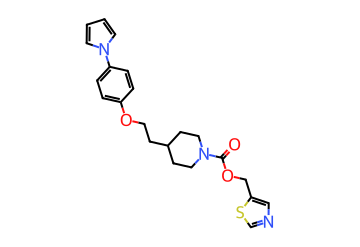 O=C(OCc1cncs1)N1CCC(CCOc2ccc(-n3cccc3)cc2)CC1